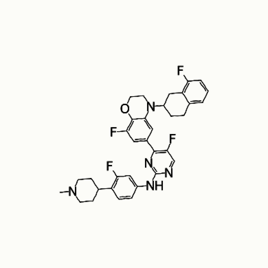 CN1CCC(c2ccc(Nc3ncc(F)c(-c4cc(F)c5c(c4)N(C4CCc6cccc(F)c6C4)CCO5)n3)cc2F)CC1